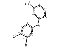 CC(=O)Oc1cccc(Oc2ccc(Cl)[n+]([O-])n2)c1